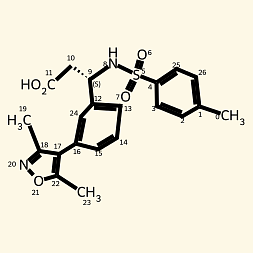 Cc1ccc(S(=O)(=O)N[C@@H](CC(=O)O)c2cccc(-c3c(C)noc3C)c2)cc1